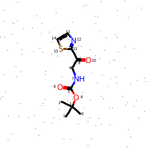 CC(C)(C)OC(=O)NCC(=O)c1nccs1